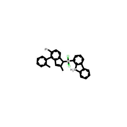 CC1=Cc2c(ccc(C(C)C)c2-c2ccccc2C)[CH]1[Zr]([Cl])([Cl])[c]1cccc2c1[SiH2]c1ccccc1-2